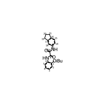 CC(C)COc1ccccc1NC(=O)C(=O)Nc1ccc2c(c1)CCC2